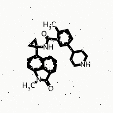 Cc1ccc(C2CCNCC2)cc1C(=O)NC1(c2ccc3c4c(cccc24)C(=O)N3C)CC1